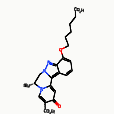 CCOC(=O)c1cn2c(cc1=O)-c1c3cccc(OCCCCCC(=O)O)c3nn1C[C@H]2C(C)(C)C